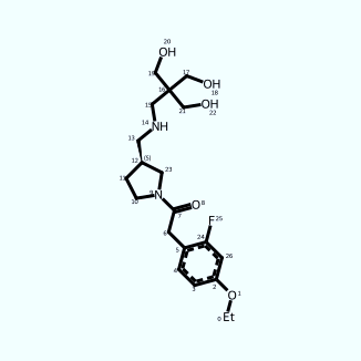 CCOc1ccc(CC(=O)N2CC[C@@H](CNCC(CO)(CO)CO)C2)c(F)c1